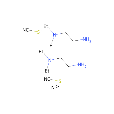 CCN(CC)CCN.CCN(CC)CCN.N#C[S-].N#C[S-].[Ni+2]